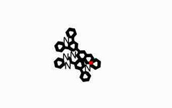 c1ccc(-n2c3ccccc3c3cc(-c4nc5ccccc5nc4-n4c5cc6ccccc6cc5c5cc6c7ccccc7n7c8ccccc8c(c54)c67)ccc32)cc1